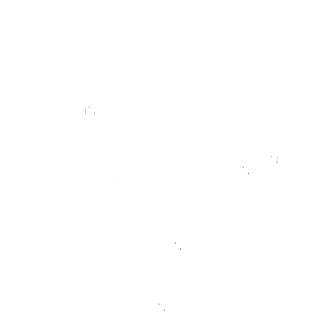 Nc1ccc(Oc2cc(-c3ccnn3-c3ccccc3)cc3c2NC(=O)C32CCC2)cn1